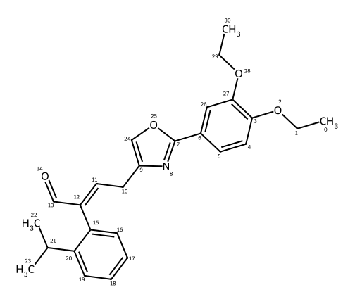 CCOc1ccc(-c2nc(C/C=C(/C=O)c3ccccc3C(C)C)co2)cc1OCC